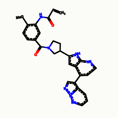 C=CC(=O)Nc1cc(C(=O)N2CCC(c3cc4c(-c5cnn6ncccc56)ccnc4[nH]3)C2)ccc1OC